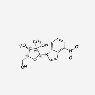 C[C@@]1(O)[C@H](O)[C@@H](CO)O[C@H]1n1ccc2c([N+](=O)[O-])cccc21